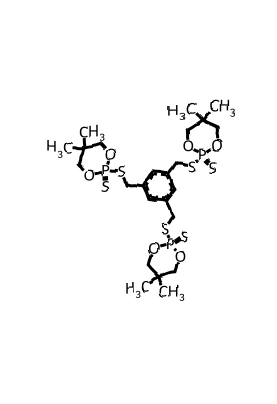 CC1(C)COP(=S)(SCc2cc(CSP3(=S)OCC(C)(C)CO3)cc(CSP3(=S)OCC(C)(C)CO3)c2)OC1